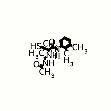 CC(=O)NCN[C@H](C(=O)Nc1cccc(C)c1C)C(C)(C)S